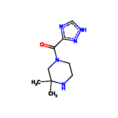 CC1(C)CN(C(=O)c2nc[nH]n2)CCN1